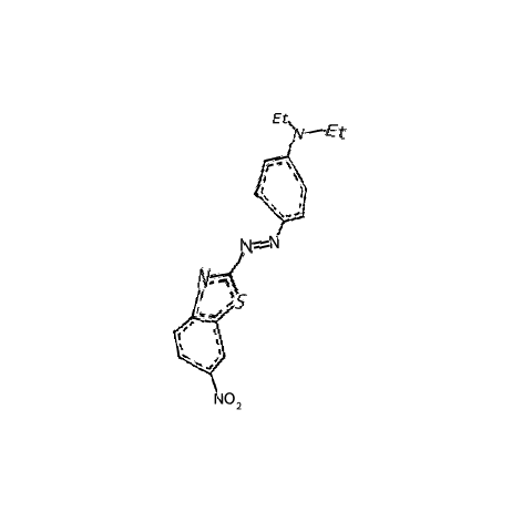 CCN(CC)c1ccc(N=Nc2nc3ccc([N+](=O)[O-])cc3s2)cc1